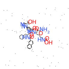 CC(C)(O)c1cnnn1[C@@H]1C[C@@H](C(=O)NC(CCCCNC(=O)O)C(=O)C(N)=O)N(C(=O)C(CC2CCCCC2)NC(=O)c2ccc3ccccc3c2)C1